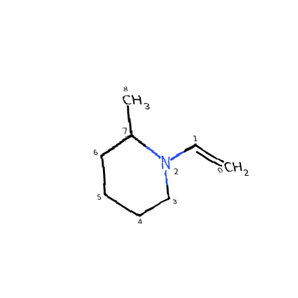 C=CN1CCCCC1C